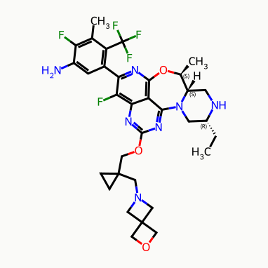 CC[C@@H]1CN2c3nc(OCC4(CN5CC6(COC6)C5)CC4)nc4c(F)c(-c5cc(N)c(F)c(C)c5C(F)(F)F)nc(c34)O[C@@H](C)[C@@H]2CN1